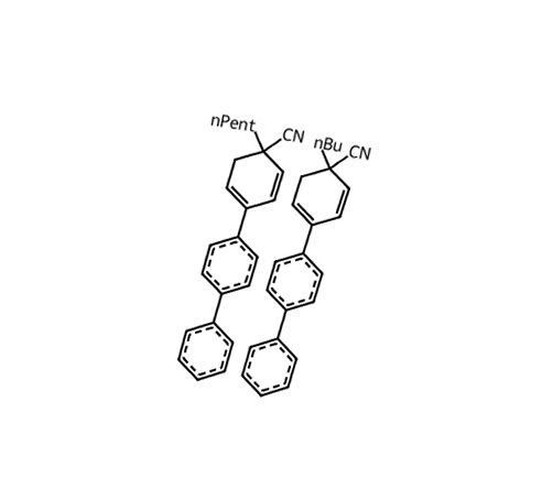 CCCCC1(C#N)C=CC(c2ccc(-c3ccccc3)cc2)=CC1.CCCCCC1(C#N)C=CC(c2ccc(-c3ccccc3)cc2)=CC1